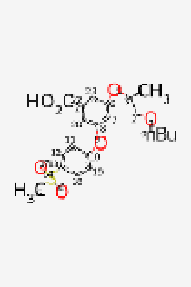 CCCCOC[C@H](C)Oc1cc(Oc2ccc(S(C)(=O)=O)cc2)cc(C(=O)O)c1